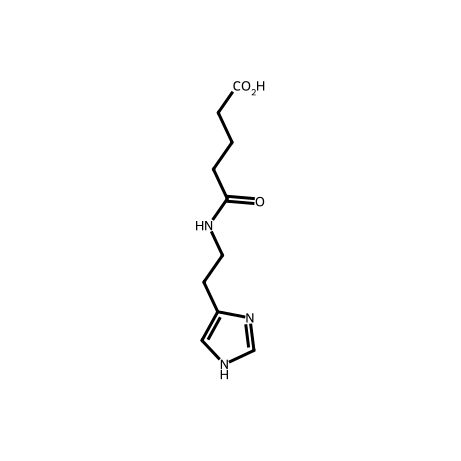 O=C(O)CCCC(=O)NCCc1c[nH]cn1